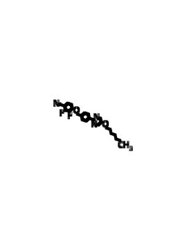 CCCCCCCOc1cnc(-c2ccc(COc3ccc(C#N)c(F)c3F)cc2)nc1